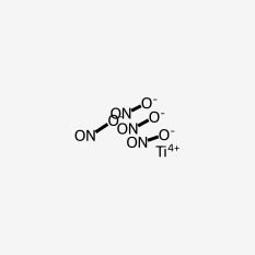 O=N[O-].O=N[O-].O=N[O-].O=N[O-].[Ti+4]